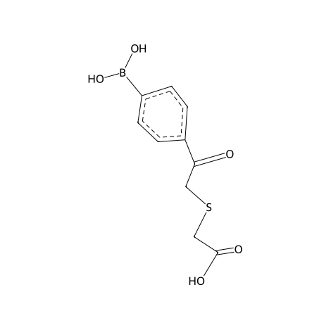 O=C(O)CSCC(=O)c1ccc(B(O)O)cc1